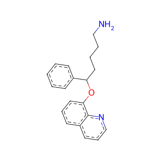 NCCCCC(Oc1cccc2cccnc12)c1ccccc1